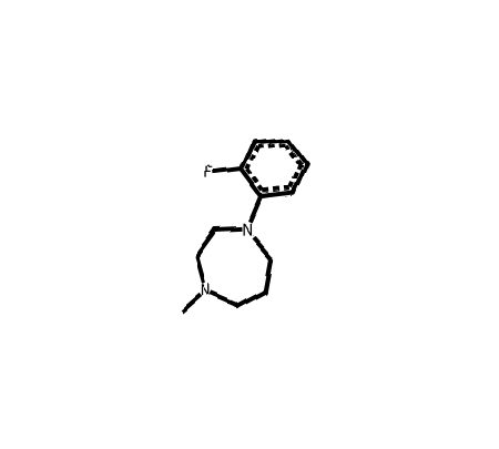 CN1CCCN(c2ccccc2F)CC1